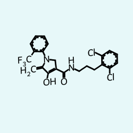 C=C1C(O)=C(C(=O)NCCCc2c(Cl)cccc2Cl)CN1c1ccccc1C(F)(F)F